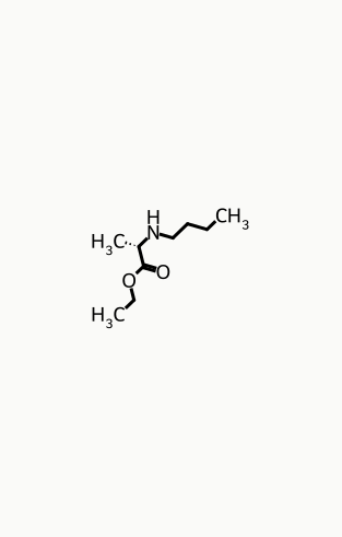 CCCCN[C@@H](C)C(=O)OCC